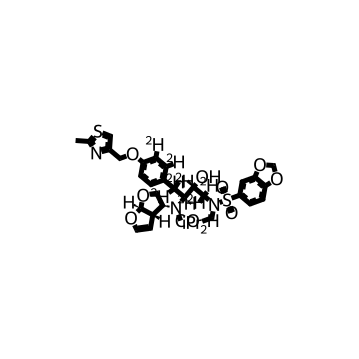 [2H]c1c(OCc2csc(C)n2)ccc(C([2H])([2H])[C@]([2H])(N(C(=O)O)[C@H]2CO[C@@H]3OC=C[C@H]32)[C@]([2H])(O)C([2H])([2H])N(CC(C)C)S(=O)(=O)c2ccc3c(c2)OCO3)c1[2H]